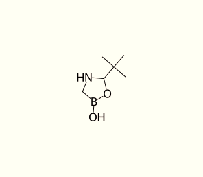 CC(C)(C)C1NCB(O)O1